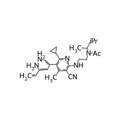 C=C/C(N)=C/C(=C\N)c1c(C2CC2)nc(NCCN(C(C)=O)C(C)C(C)C)c(C#N)c1C